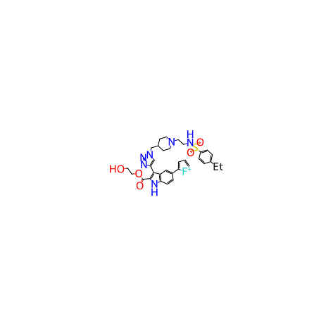 CCc1ccc(S(=O)(=O)NCCN2CCC(Cn3cc(-c4c(C(=O)OCCO)[nH]c5ccc(C6=CC=C[F+]6)cc45)nn3)CC2)cc1